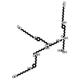 CC[C@@H](CCCCCCCNCC[C@@H](CCCCCCCNCC[C@@H](CCCCCCCN(O)O)NC(=O)CCCCCC1CCC(CNCCCCCCCCCCCOC=O)CC1)NC(=O)CCCCCC1CCC(CNCCCCCCCCCCCOC=O)CC1)NC(=O)CCCCCC1CCC(CNCCCCCCCCCCCOC=O)CC1